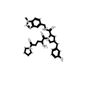 Cn1nnc2cc(CNC(=O)C3CC(Cc4cccc(Cl)c4)CN3C(=O)C(N)CCC(=O)N3CCCC3)ccc21